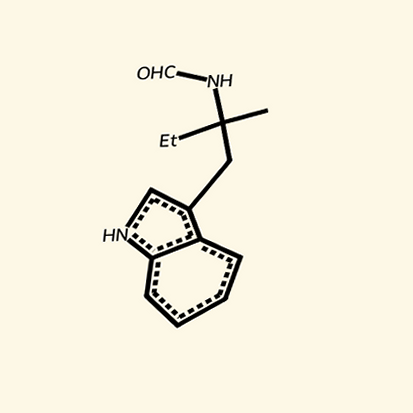 CCC(C)(Cc1c[nH]c2ccccc12)NC=O